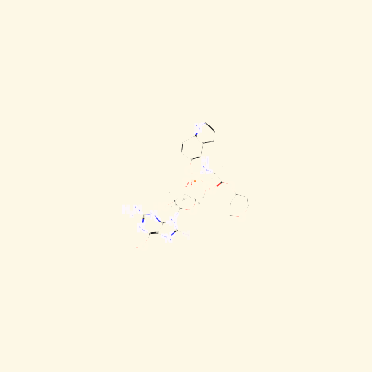 COc1nc(N)nc2c1nc(I)n2C1O[C@H](COP(=O)(N[C@@H](C)C(=O)OC2CCOCC2)Oc2ccc3ncccc3c2)[C@@H](O)[C@@]1(C)O